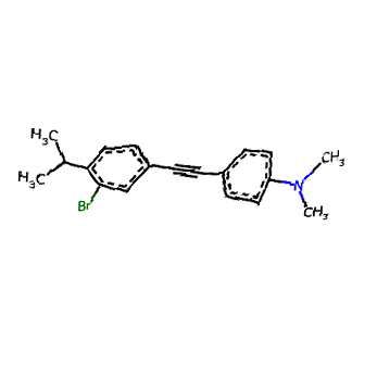 CC(C)c1ccc(C#Cc2ccc(N(C)C)cc2)cc1Br